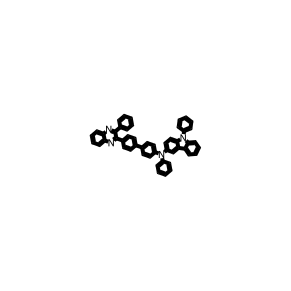 c1ccc(-c2nc3ccccc3nc2-c2ccc(-c3ccc(N(c4ccccc4)c4ccc5c(c4)c4ccccc4n5-c4ccccc4)cc3)cc2)cc1